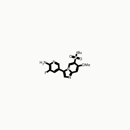 COc1cc2ncc(-c3cnc(N)c(F)c3)n2cc1S(=O)(=O)C(C)(C)C